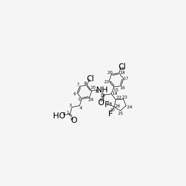 O=C(O)CCc1ccc(Cl)c(NC(=O)C(c2ccc(Cl)cc2)C2CCCC2(F)F)c1